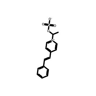 CC(OS(=O)(=O)[O-])[n+]1ccc(C=Cc2ccccc2)cc1